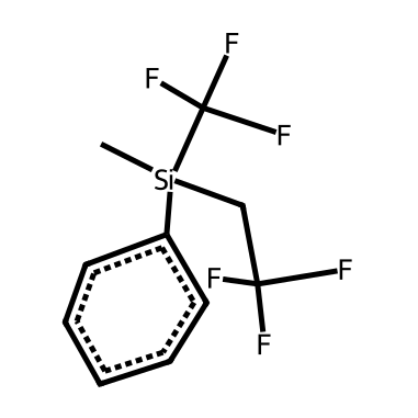 C[Si](CC(F)(F)F)(c1ccccc1)C(F)(F)F